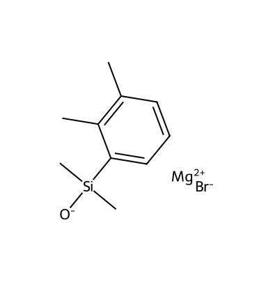 Cc1cccc([Si](C)(C)[O-])c1C.[Br-].[Mg+2]